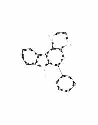 c1ccc(-c2cc3nccnc3c3c2[nH]c2ccccc23)cc1